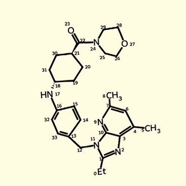 CCc1nc2c(C)cc(C)nc2n1Cc1ccc(N[C@H]2CC[C@H](C(=O)N3CCOCC3)CC2)cc1